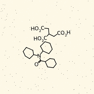 O=C(C1CCCCC1)N(C1CCCCC1)C1CCCCC1.O=C(O)CC(CC(=O)O)C(=O)O